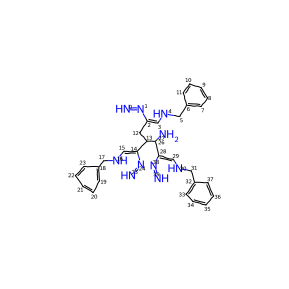 N=N/C(=C\NCc1ccccc1)CC(/C(=C/NCc1ccccc1)N=N)C(N)/C(=C/NCc1ccccc1)N=N